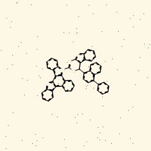 c1ccc(-c2ccc(C3NC(n4c5ccccc5c5c6sc7ccccc7c6c6ccccc6c54)=Nc4sc5ccccc5c43)c3ccccc23)cc1